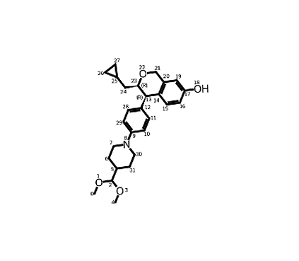 COC(OC)C1CCN(c2ccc([C@@H]3c4ccc(O)cc4CO[C@@H]3CC3CC3)cc2)CC1